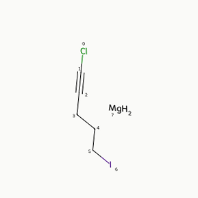 ClC#CCCCI.[MgH2]